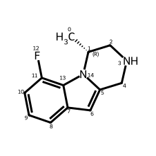 C[C@@H]1CNCc2cc3cccc(F)c3n21